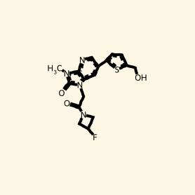 Cn1c(=O)n(CC(=O)N2CC(F)C2)c2cc(-c3ccc(CO)s3)cnc21